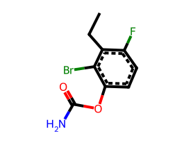 CCc1c(F)ccc(OC(N)=O)c1Br